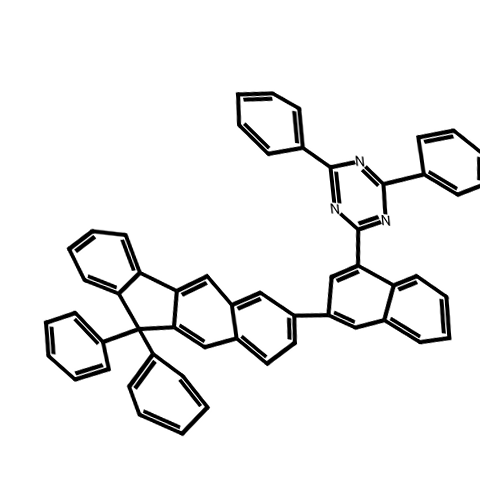 c1ccc(-c2nc(-c3ccccc3)nc(-c3cc(-c4ccc5cc6c(cc5c4)-c4ccccc4C6(c4ccccc4)c4ccccc4)cc4ccccc34)n2)cc1